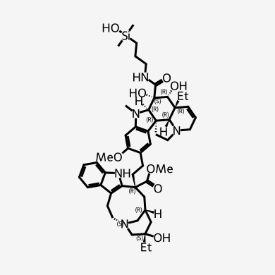 CC[C@]1(O)C[C@@H]2C[N@@](CCc3c([nH]c4ccccc34)[C@](CCc3cc4c(cc3OC)N(C)[C@H]3[C@@](O)(C(=O)NCCC[Si](C)(C)O)[C@H](O)[C@]5(CC)C=CCN6CC[C@]43[C@@H]65)(C(=O)OC)C2)C1